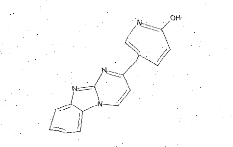 Oc1ccc(-c2ccn3c(n2)nc2ccccc23)cn1